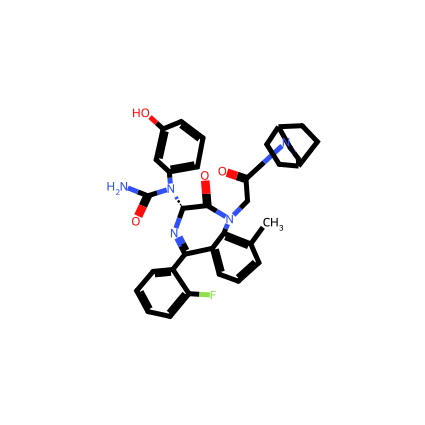 Cc1cccc2c1N(CC(=O)N1CC3CCC(CC3)C1)C(=O)[C@@H](N(C(N)=O)c1cccc(O)c1)N=C2c1ccccc1F